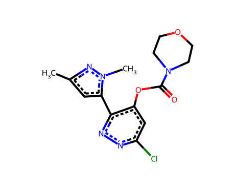 Cc1cc(-c2nnc(Cl)cc2OC(=O)N2CCOCC2)n(C)n1